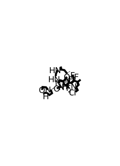 CC(=C/C(N)=C/Cl)/C(=C/c1nc2c3c(nc(OC[C@@H]4CC[C@H]5COCCN54)nc3c1F)NCCNC(C)C[C@H](C)O2)C(F)(F)F